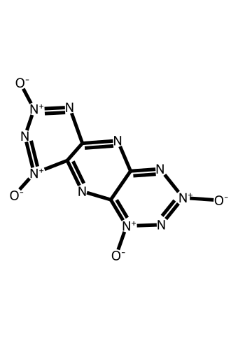 [O-][n+]1nc2nc3n[n+]([O-])n[n+]([O-])c3nc2[n+]([O-])n1